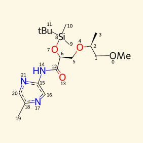 COC[C@H](C)OC[C@H](O[Si](C)(C)C(C)(C)C)C(=O)Nc1cnc(C)cn1